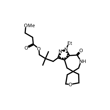 CCn1nc(CC(C)(C)COC(=O)CCOC)c2c1C(=O)NCC1(CCOCC1)C2